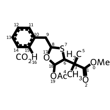 COC(=O)C(C)(C)C1SC(Cc2ccccc2C(=O)O)OC1OC(C)=O